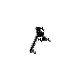 CCCCCCCCCCCCCCCCCCN(C=O)c1ccc(C(N)=O)cc1COC(=O)NCCCN(C)C